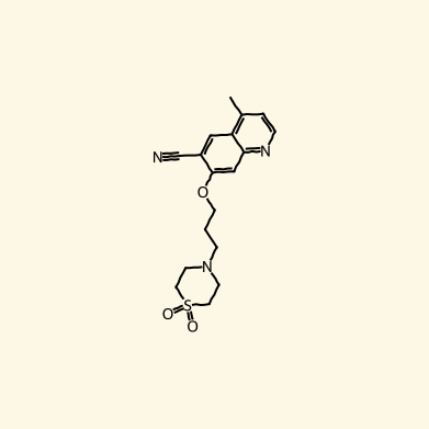 Cc1ccnc2cc(OCCCN3CCS(=O)(=O)CC3)c(C#N)cc12